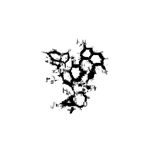 [2H]C([2H])(OC1(C)C=C(N2CCOC[C@H]3[C@H](F)[C@H]32)c2cc(C#N)c(-c3cc(N)cc4ccc(F)c(C#C[Si](C(C)C)(C(C)C)C(C)C)c34)c(F)c2N1)[C@@]12CCCN1C[C@H](F)C2